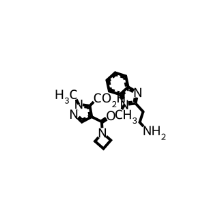 Cn1c(CCN)nc2ccccc21.Cn1ncc(C(=O)N2CCC2)c1C(=O)O